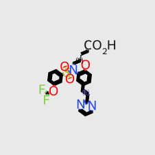 O=C(O)CC[C@H]1CN(S(=O)(=O)c2cccc(OC(F)F)c2)c2cc(/C=C/c3ncccn3)ccc2O1